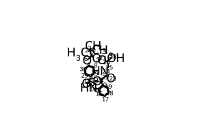 CC(C)(C)C(=O)Oc1ccc(S(=O)(=O)Nc2ccccc2CC(=O)NCC(=O)O)cc1